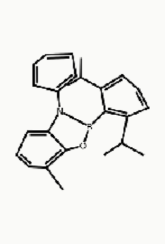 Cc1cccc2c1OB(c1c(C(C)C)cccc1C(C)C)N2c1ccccc1